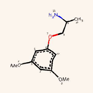 COc1cc(OC)cc(OCC(C)N)c1